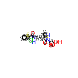 O=CC(CC(=O)O)NC(=O)C(CCCCNC(=O)c1sc2ccccc2c1Cl)c1cccs1